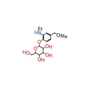 CCNc1cc(COC)ccc1OC1OC(CO)C(O)C(O)C1O